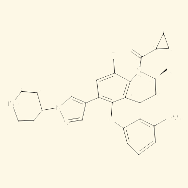 COc1cccc(Oc2c(-c3cnn(C4CCNCC4)c3)cc(F)c3c2CC[C@H](C)N3C(=O)C2CC2)c1